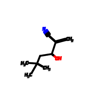 C=C(C#N)C(O)CC(C)(C)C